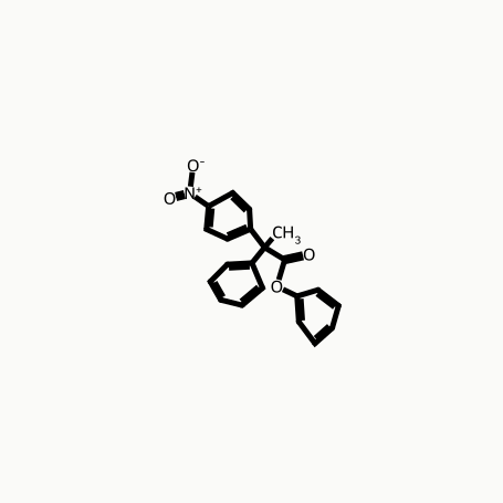 CC(C(=O)Oc1ccccc1)(c1ccccc1)c1ccc([N+](=O)[O-])cc1